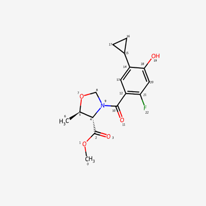 COC(=O)[C@@H]1[C@@H](C)OCN1C(=O)c1cc(C2CC2)c(O)cc1F